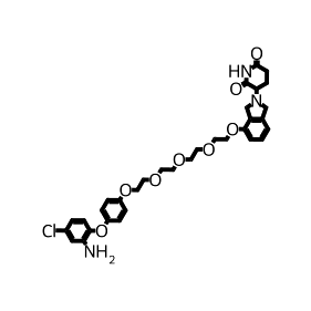 Nc1cc(Cl)ccc1Oc1ccc(OCCOCCOCCOCCOc2cccc3c2CN(C2CCC(=O)NC2=O)C3)cc1